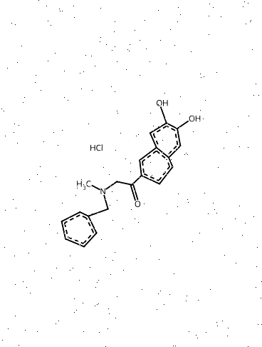 CN(CC(=O)c1ccc2cc(O)c(O)cc2c1)Cc1ccccc1.Cl